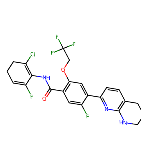 O=C(NC1=C(Cl)CCC=C1F)c1cc(F)c(-c2ccc3c(n2)NCCC3)cc1OCC(F)(F)F